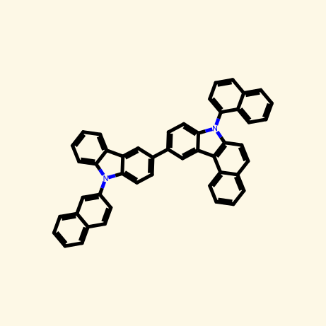 c1ccc2cc(-n3c4ccccc4c4cc(-c5ccc6c(c5)c5c7ccccc7ccc5n6-c5cccc6ccccc56)ccc43)ccc2c1